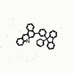 C1=CCCC(C2(c3cccc(-c4cc5nc6ccccc6cc5c5ccccc45)c3)c3ccccc3-c3ccccc32)=C1